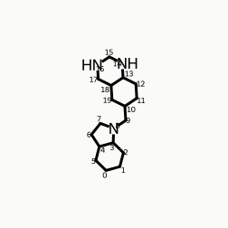 C1CCC2C(C1)CCN2CC1CCC2NCNCC2C1